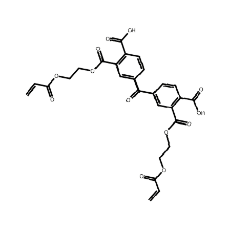 C=CC(=O)OCCOC(=O)c1cc(C(=O)c2ccc(C(=O)O)c(C(=O)OCCOC(=O)C=C)c2)ccc1C(=O)O